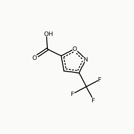 O=C(O)c1cc(C(F)(F)F)no1